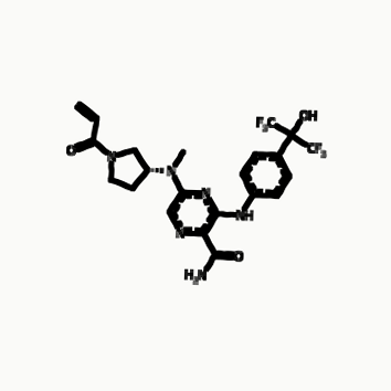 C=CC(=O)N1CC[C@@H](N(C)c2cnc(C(N)=O)c(Nc3ccc(C(O)(C(F)(F)F)C(F)(F)F)cc3)n2)C1